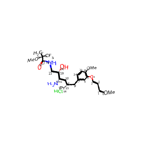 COCCCOc1cc(C[C@@H](C[C@H](N)[C@@H](O)CNC(=O)[C@@](C)(OC)C(F)(F)F)C(C)C)ccc1OC.Cl